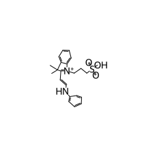 CC1(C)C(/C=C/Nc2ccccc2)=[N+](CCCS(=O)(=O)O)c2ccccc21